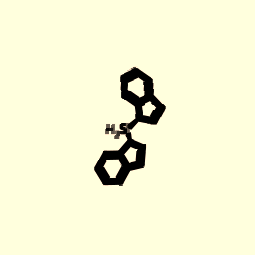 C1=C[C@H]([SiH2][C@@H]2C=Cc3ccccc32)c2ccccc21